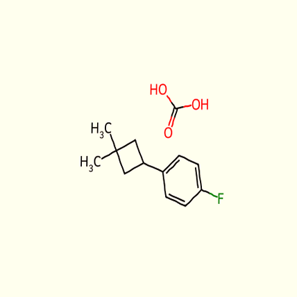 CC1(C)CC(c2ccc(F)cc2)C1.O=C(O)O